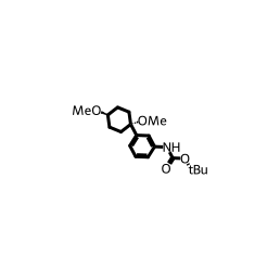 CO[C@H]1CC[C@@](OC)(c2cccc(NC(=O)OC(C)(C)C)c2)CC1